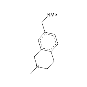 CNCc1ccc2c(c1)CN(C)CC2